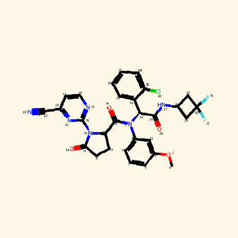 COc1cccc(N(C(=O)C2CCC(=O)N2c2nccc(C#N)n2)[C@H](C(=O)NC2CC(F)(F)C2)c2ccccc2Cl)c1